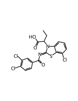 CCC(C(=O)O)n1c(=NC(=O)c2ccc(Cl)c(Cl)c2)sc2c(Cl)cccc21